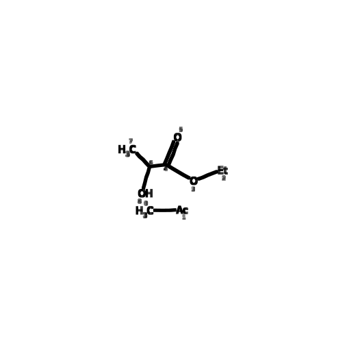 CC(C)=O.CCOC(=O)C(C)O